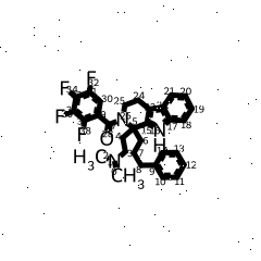 CN(C)CCC1(CCCc2ccccc2)c2[nH]c3ccccc3c2CCN1C(=O)c1cc(F)c(F)c(F)c1F